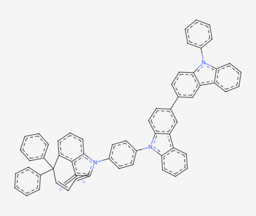 C=c1/c2n(-c3ccc(-n4c5ccccc5c5cc(-c6ccc7c(c6)c6ccccc6n7-c6ccccc6)ccc54)cc3)c3cccc(c13)C(c1ccccc1)(c1ccccc1)/C=C\C=2